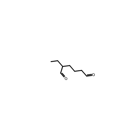 CCC(C=O)CCCC=O